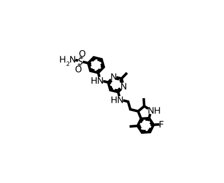 Cc1nc(NCCC2c3c(C)ccc(F)c3NC2C)cc(Nc2cccc(S(N)(=O)=O)c2)n1